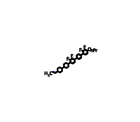 C/C=C/C1CCC(C2CCC(c3ccc(-c4ccc(-c5ccc(OCCC)c(F)c5F)cc4)c(F)c3F)CC2)CC1